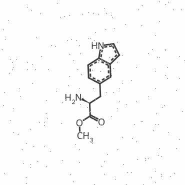 COC(=O)[C@@H](N)Cc1ccc2[nH]ccc2c1